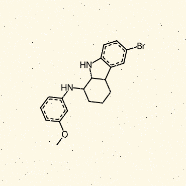 COc1cccc(NC2CCCC3c4cc(Br)ccc4NC23)c1